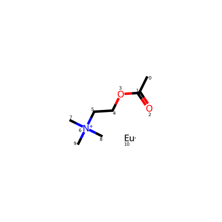 CC(=O)OCC[N+](C)(C)C.[Eu]